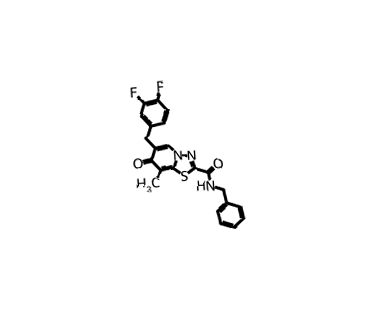 Cc1c(=O)c(Cc2ccc(F)c(F)c2)cn2nc(C(=O)NCc3ccccc3)sc12